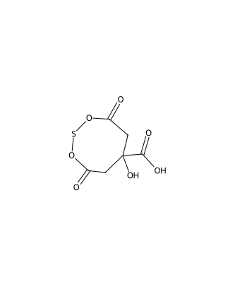 O=C1CC(O)(C(=O)O)CC(=O)OSO1